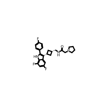 O=C(CN1CCCC1)NC[C@H]1C[C@@H](c2c(-c3ccc(F)cc3)[nH]c3c(F)cc(F)cc32)C1